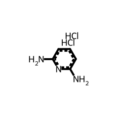 Cl.Cl.Nc1cccc(N)n1